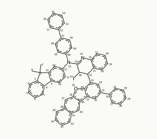 CC1(C)c2ccccc2-c2ccc(N(C3=Nc4ccccc4C(c4cc(-c5ccccc5)cc5c4oc4cc6ccccc6cc45)C3I)c3ccc(-c4ccccc4)cc3)cc21